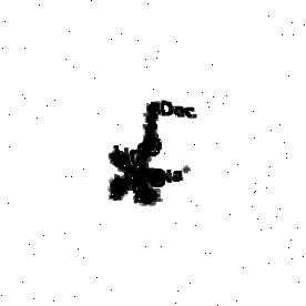 CCCCCCCCCCCCCCCCCC(=O)OCC(O)CO[C@H]1O[C@H](CS(=O)(=O)[O-])[C@@H](OCc2ccccc2)[C@H](OCc2ccccc2)[C@@H]1OCc1ccccc1.[Na+]